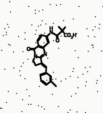 Cc1cccc(/C=C2\CCn3c2nc2cc(NC(=O)C(C)(C)C(=O)O)ccc2c3=O)c1